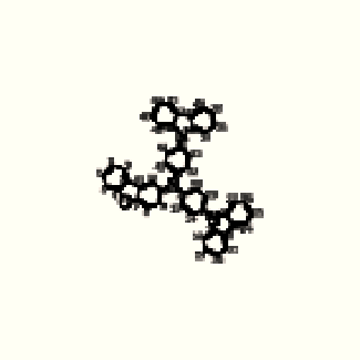 c1ccc2c(c1)oc1ccc(N(c3ccc(-n4c5ccccc5c5ccccc54)cc3)c3ccc(-n4c5ccccc5c5ccccc54)cc3)cc12